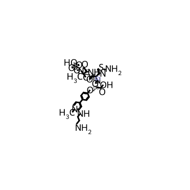 C[n+]1ccc(-c2ccc(OC[C@H](O/N=C(\C(=O)N[C@@H]3C(=O)N(OS(=O)(=O)O)C3(C)C)c3csc(N)n3)C(=O)O)cc2)cc1NCCCN